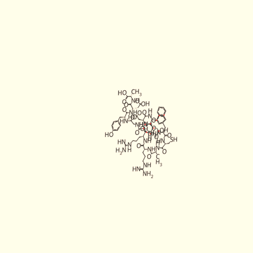 C[C@H](NC(=O)[C@H](CC(=O)O)NC(=O)[C@H](Cc1ccc(O)cc1)NC(=O)CNC(=O)[C@H](CO)NC(=O)[C@H](Cc1ccccc1)NC(=O)[C@H](CC(=O)O)NC(=O)[C@H](CC(=O)O)NC(=O)[C@H](CCCNC(=N)N)NC(=O)[C@H](CCCNC(=N)N)NC(=O)[C@H](C)NC(=O)[C@H](CS)NC(=O)[C@@H](N)Cc1ccccc1)C(=O)O